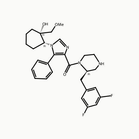 COC[C@]1(O)CCCC[C@H]1n1cnc(C(=O)N2CCNC[C@H]2Cc2cc(F)cc(F)c2)c1-c1ccccc1